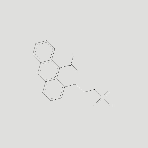 O=C(O)c1c2ccccc2nc2cccc(CCCS(=O)(=O)O)c12